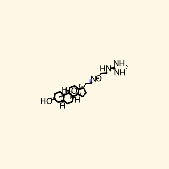 C[C@]12CC[C@H](O)C[C@H]1CC[C@@H]1[C@@H]2CC[C@]2(C)[C@@H](C/C=N/OCCNC(=N)N)CC[C@]12O